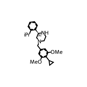 COc1cc(CN2CCN[C@H](c3ccccc3C(C)C)C2)cc(OC)c1C1CC1